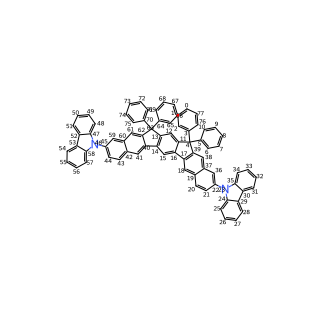 c1ccc(C2(c3ccccc3)c3cc4c(cc3-c3cc5ccc(-n6c7ccccc7c7ccccc76)cc5cc32)-c2cc3ccc(-n5c6ccccc6c6ccccc65)cc3cc2C4(c2ccccc2)c2ccccc2)cc1